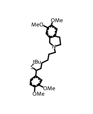 COc1ccc(C(CCCCCN2CCc3cc(OC)c(OC)cc3C2)SC(C)(C)C)cc1OC